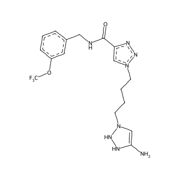 NC1=CN(CCCCn2cc(C(=O)NCc3cccc(OC(F)(F)F)c3)nn2)NN1